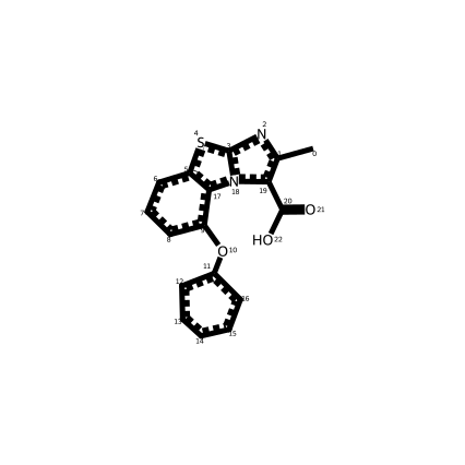 Cc1nc2sc3cccc(Oc4ccccc4)c3n2c1C(=O)O